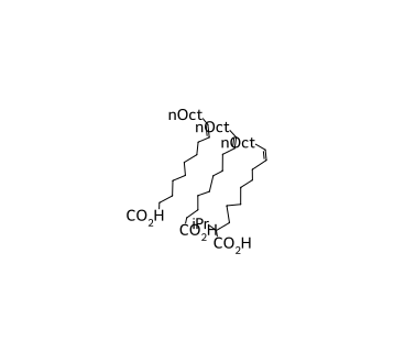 CCCCCCCC/C=C\CCCCCCC(C(=O)O)C(C)C.CCCCCCCC/C=C\CCCCCCCC(=O)O.CCCCCCCC/C=C\CCCCCCCC(=O)O